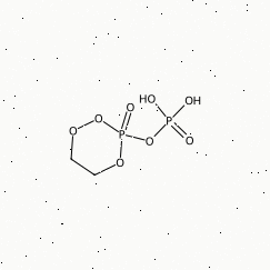 O=P(O)(O)OP1(=O)OCCOO1